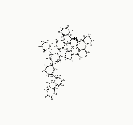 C1=C(c2cccc(-c3c(-c4ccccc4)c(-c4ccccc4)nc(-c4ccccc4)c3-c3ccccc3)c2)NC(c2cccc(-c3cccc4c3sc3ccccc34)c2)NC1c1ccccc1